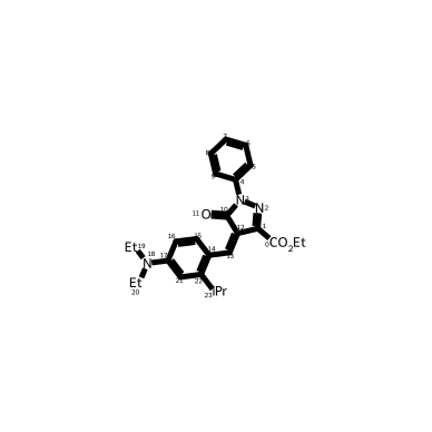 CCOC(=O)C1=NN(c2ccccc2)C(=O)/C1=C\c1ccc(N(CC)CC)cc1C(C)C